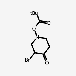 CC(C)(C)C(=O)ON1CCC(=O)C(Br)C1